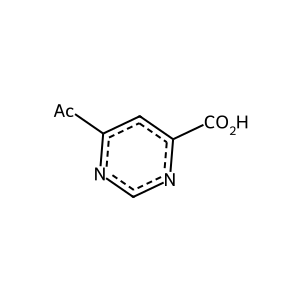 CC(=O)c1cc(C(=O)O)ncn1